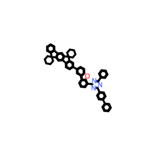 c1ccc(-c2ccc(-c3nc(-c4ccccc4)nc(-c4cccc5c4oc4ccc(-c6ccc7c(c6)C6(CCCCC6)c6cc8c(cc6-7)C6(CCCCC6)c6ccccc6-8)cc45)n3)cc2)cc1